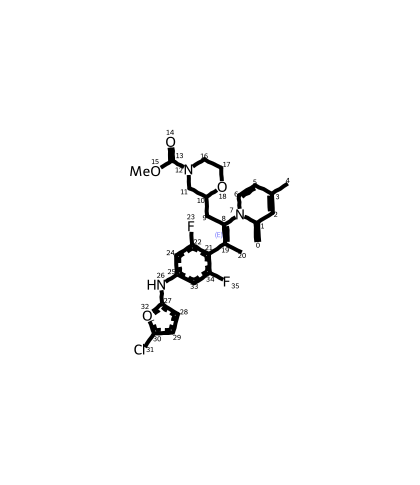 C=C1C=C(C)C=CN1/C(CC1CN(C(=O)OC)CCO1)=C(\C)c1c(F)cc(Nc2ccc(Cl)o2)cc1F